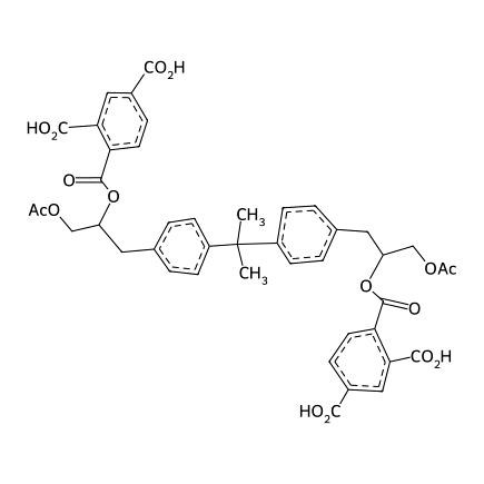 CC(=O)OCC(Cc1ccc(C(C)(C)c2ccc(CC(COC(C)=O)OC(=O)c3ccc(C(=O)O)cc3C(=O)O)cc2)cc1)OC(=O)c1ccc(C(=O)O)cc1C(=O)O